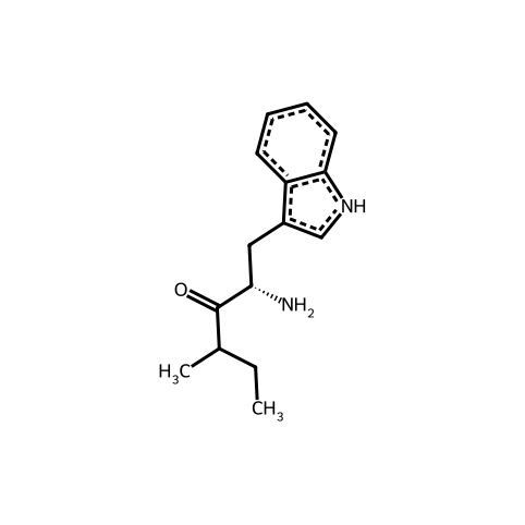 CCC(C)C(=O)[C@@H](N)Cc1c[nH]c2ccccc12